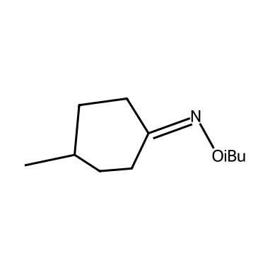 CC(C)CON=C1CCC(C)CC1